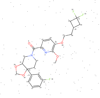 COc1nc(C(=O)N2CCC3(c4cccc(F)c4)OCOC3C2)ccc1OCCC1CC(F)(F)C1